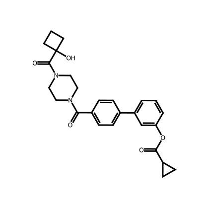 O=C(Oc1cccc(-c2ccc(C(=O)N3CCN(C(=O)C4(O)CCC4)CC3)cc2)c1)C1CC1